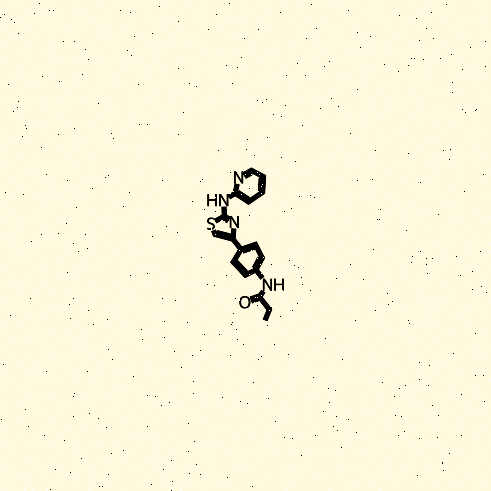 CCC(=O)Nc1ccc(-c2csc(Nc3ccccn3)n2)cc1